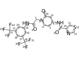 O=C(Cn1ccc(NC(=O)c2cscn2)cc1=O)Nc1cc(C(F)(F)F)cc(C(F)(F)F)c1